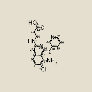 Nc1c(Cl)ccc2nc(NCCC(=O)O)nc(Cc3cccnc3)c12